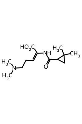 CN(C)CCC=C(NC(=O)C1CC1(C)C)C(=O)O